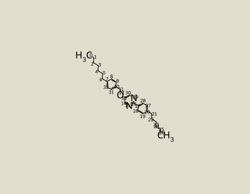 CCCCCCCc1ccc(COc2cnc(-c3ccc(CCCCCC)cc3)nc2)cc1